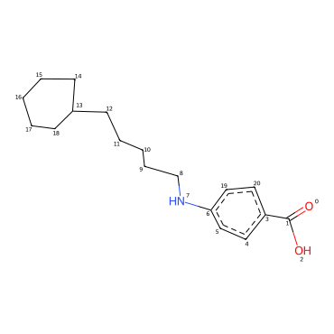 O=C(O)c1ccc(NCCCCCC2CCCCC2)cc1